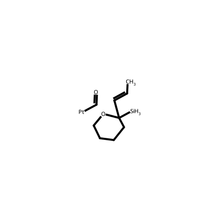 CC=CC1([SiH3])CCCCO1.O=[CH][Pt]